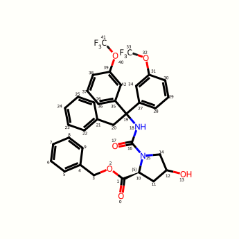 O=C(OCc1ccccc1)[C@@H]1CC(O)CN1C(=O)NC(Cc1ccccc1)(c1cccc(OC(F)(F)F)c1)c1cccc(OC(F)(F)F)c1